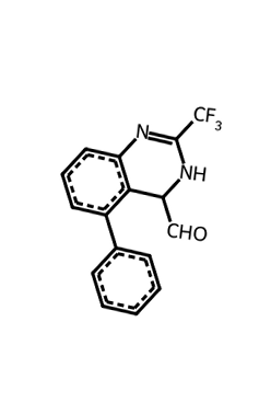 O=CC1NC(C(F)(F)F)=Nc2cccc(-c3ccccc3)c21